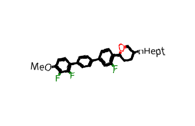 CCCCCCCC1CCC(c2ccc(-c3ccc(-c4ccc(OC)c(F)c4F)cc3)cc2F)OC1